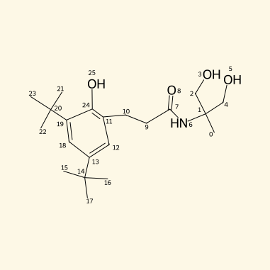 CC(CO)(CO)NC(=O)CCc1cc(C(C)(C)C)cc(C(C)(C)C)c1O